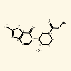 CC(C)(C)OC(=O)N1CC[C@H](O)C(n2cnc3cc(Br)sc3c2=O)C1